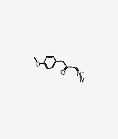 COc1ccc(CC(=O)C=[N+]=[N-])cc1